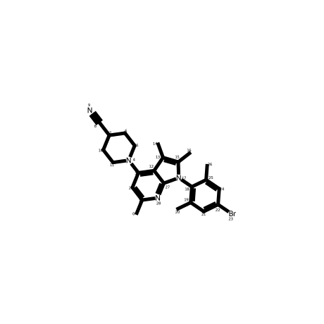 Cc1cc(N2CCC(C#N)CC2)c2c(C)c(C)n(-c3c(C)cc(Br)cc3C)c2n1